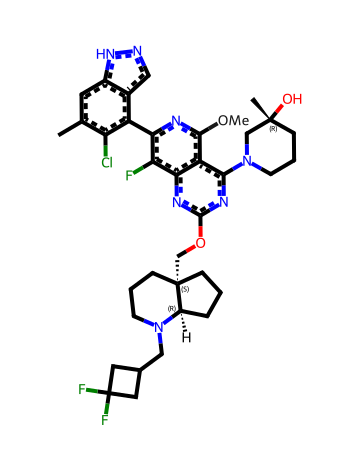 COc1nc(-c2c(Cl)c(C)cc3[nH]ncc23)c(F)c2nc(OC[C@]34CCC[C@H]3N(CC3CC(F)(F)C3)CCC4)nc(N3CCC[C@@](C)(O)C3)c12